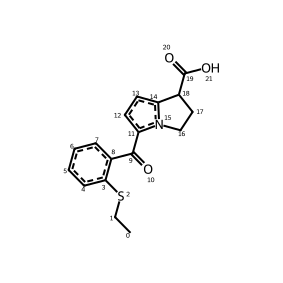 CCSc1ccccc1C(=O)c1ccc2n1CCC2C(=O)O